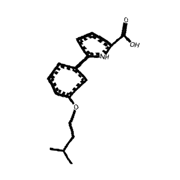 CC(C)CCOc1cccc(-c2ccc(C(=O)O)[nH]2)c1